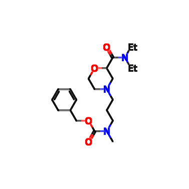 CCN(CC)C(=O)C1CN(CCCN(C)C(=O)OCC2C=CC=CC2)CCO1